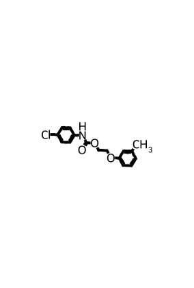 Cc1cccc(OCCOC(=O)Nc2ccc(Cl)cc2)c1